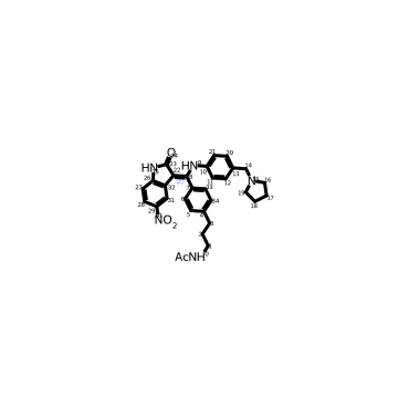 CC(=O)NCCCc1ccc(/C(Nc2ccc(CN3CCCC3)cc2)=C2/C(=O)Nc3ccc([N+](=O)[O-])cc32)cc1